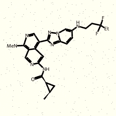 CCC(F)(F)CCNc1ccc2nc(-c3cnc(NC)c4cnc(NC(=O)[C@H]5C[C@H]5C)cc34)nn2c1